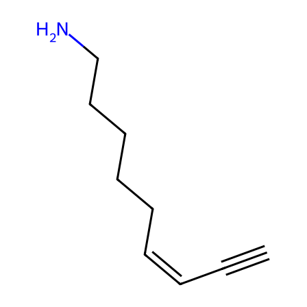 C#C/C=C\CCCCCN